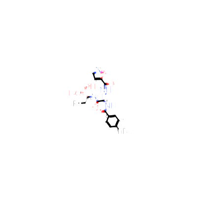 CCCCc1ccc(C(=O)N[C@@H](CNC(=O)c2ccno2)C(=O)N[C@@H](CC(C)C)B(O)O)cc1